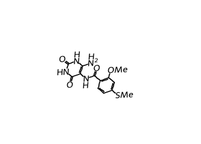 COc1cc(SC)ccc1C(=O)Nc1c(N)[nH]c(=O)[nH]c1=O